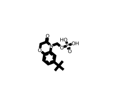 CC(C)(C)c1ccc2c(c1)N(COP(=O)(O)O)C(=O)CO2